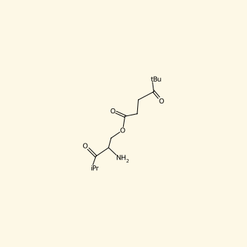 CC(C)C(=O)C(N)COC(=O)CCC(=O)C(C)(C)C